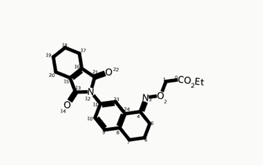 CCOC(=O)CON=C1CCCc2ccc(N3C(=O)C4=C(CCCC4)C3=O)cc21